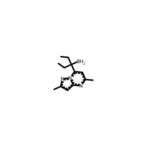 BC(CC)(CC)c1cc(C)nc2cc(C)nn12